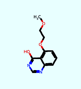 COCCOc1cccc2ncnc(O)c12